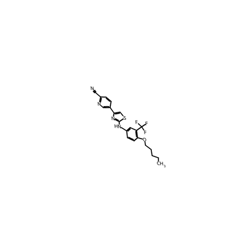 CCCCCOc1ccc(Nc2nc(-c3ccc(C#N)nc3)cs2)cc1C(F)(F)F